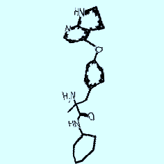 CC(N)(Cc1ccc(Oc2ccnc3[nH]ccc23)cc1)C(=O)NC1CCCCC1